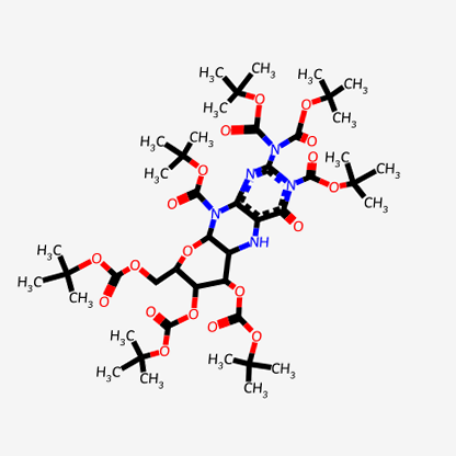 CC(C)(C)OC(=O)OCC1OC2C(Nc3c(nc(N(C(=O)OC(C)(C)C)C(=O)OC(C)(C)C)n(C(=O)OC(C)(C)C)c3=O)N2C(=O)OC(C)(C)C)C(OC(=O)OC(C)(C)C)C1OC(=O)OC(C)(C)C